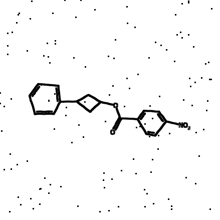 O=C(OC1CC(c2ccccc2)C1)c1ccc([N+](=O)[O-])cc1